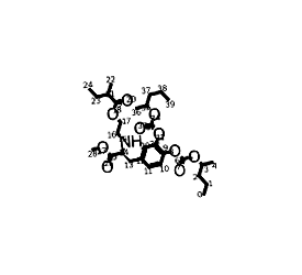 CCCC(C)OC(=O)Oc1ccc(C[C@H](NCCOC(=O)C(C)CC)C(=O)OC)cc1OC(=O)OC(C)CCC